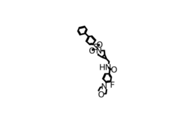 O=C(NCC1C2CN(S(=O)(=O)c3ccc(-c4ccccc4)cc3)CC12)c1ccc(N2CCOCC2)c(F)c1